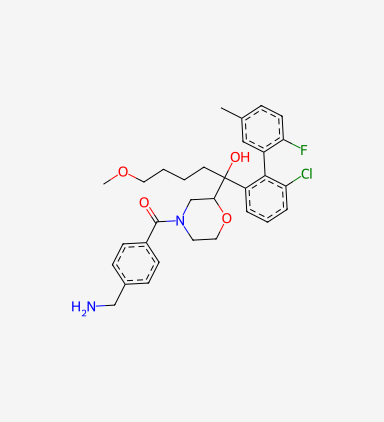 COCCCCC(O)(c1cccc(Cl)c1-c1cc(C)ccc1F)C1CN(C(=O)c2ccc(CN)cc2)CCO1